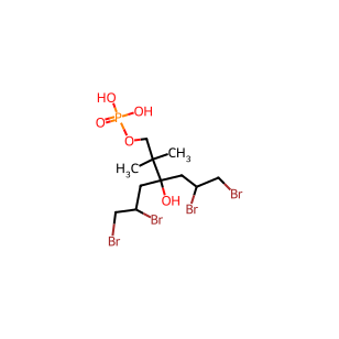 CC(C)(COP(=O)(O)O)C(O)(CC(Br)CBr)CC(Br)CBr